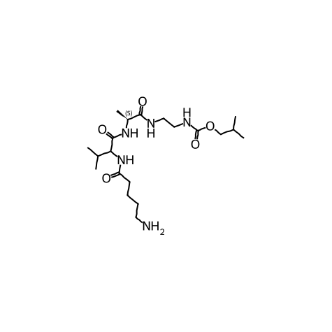 CC(C)COC(=O)NCCNC(=O)[C@H](C)NC(=O)C(NC(=O)CCCCN)C(C)C